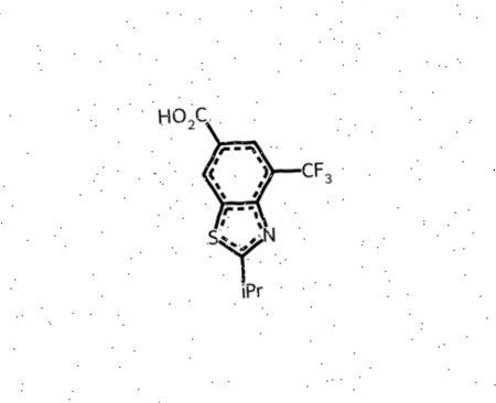 CC(C)c1nc2c(C(F)(F)F)cc(C(=O)O)cc2s1